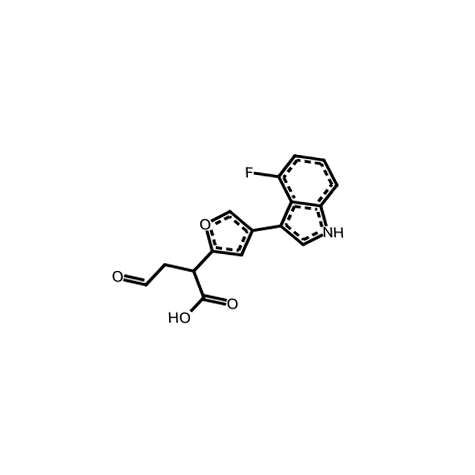 O=CCC(C(=O)O)c1cc(-c2c[nH]c3cccc(F)c23)co1